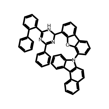 c1ccc(C2=NC(c3cccc4c3oc3c(-n5c6ccccc6c6c7ccccc7ccc65)cccc34)NC(c3ccccc3-c3ccccc3)=N2)cc1